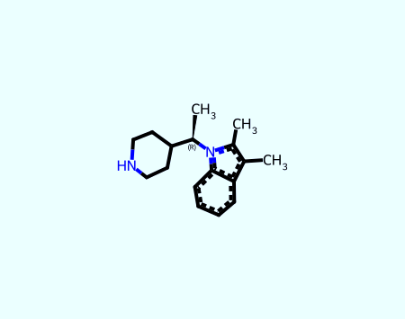 Cc1c(C)n([C@H](C)C2CCNCC2)c2ccccc12